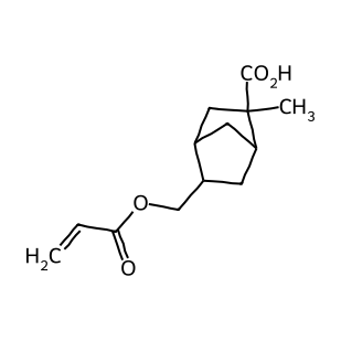 C=CC(=O)OCC1CC2CC1CC2(C)C(=O)O